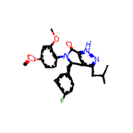 COc1ccc(N2C(=O)c3[nH]nc(CC(C)C)c3C2c2ccc(F)cc2)c(OC)c1